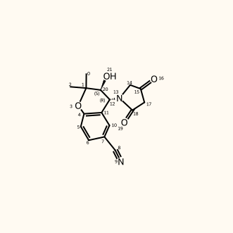 CC1(C)Oc2ccc(C#N)cc2[C@@H](N2CC(=O)CC2=O)[C@@H]1O